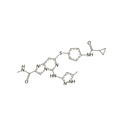 CNC(=O)c1cn2c(Nc3cc(C)[nH]n3)nc(Sc3ccc(NC(=O)C4CC4)cc3)cc2n1